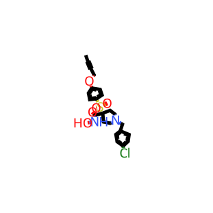 CC#CCOc1ccc(S(=O)(=O)C2(C(=O)NO)CCN(Cc3ccc(Cl)cc3)CC2)cc1